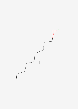 CCC[CH2][AlH][CH2]CCCOCl